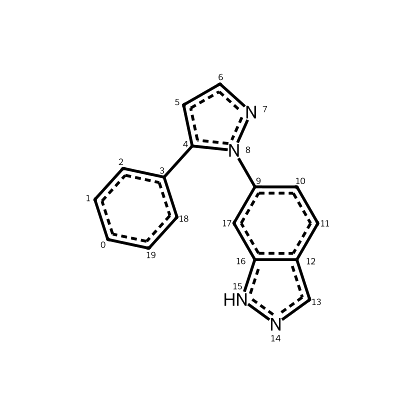 c1ccc(-c2ccnn2-c2ccc3cn[nH]c3c2)cc1